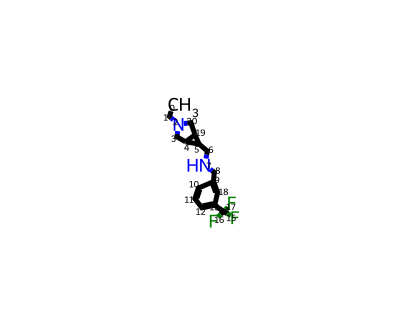 CCN1CC2C(CNCc3cccc(C(F)(F)F)c3)C2C1